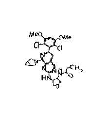 C=CC(=O)N[C@H]1COC[C@H]1Nc1ncc2cc(-c3c(Cl)c(OC)cc(OC)c3Cl)nc(N3CC4CC4C3)c2n1